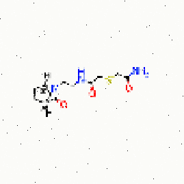 NC(=O)CSCC(=O)NCCN1C(=O)[C@@H]2CC[C@H]1C2